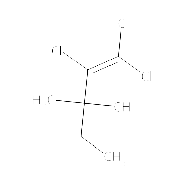 CCC(C)(C)C(Cl)=C(Cl)Cl